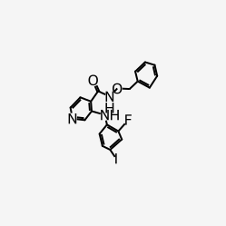 O=C(NOCc1ccccc1)c1ccncc1Nc1ccc(I)cc1F